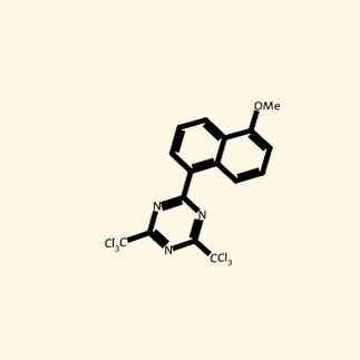 COc1cccc2c(-c3nc(C(Cl)(Cl)Cl)nc(C(Cl)(Cl)Cl)n3)cccc12